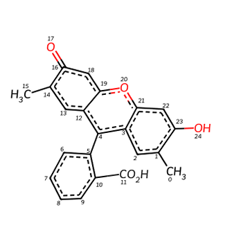 Cc1cc2c(-c3ccccc3C(=O)O)c3cc(C)c(=O)cc-3oc2cc1O